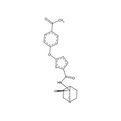 CC(=O)c1ccc(Oc2ccc(C(=O)N[C@H]3CN4CCC3CC4)s2)cc1